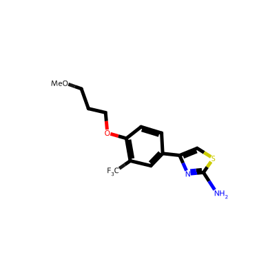 COCCCOc1ccc(-c2csc(N)n2)cc1C(F)(F)F